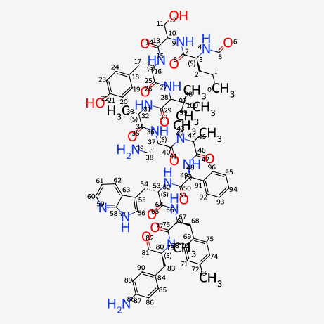 CCC[C@H](NC=O)C(=O)NC(CO)C(=O)N[C@@H](Cc1ccc(O)cc1)C(=O)NC(C(=O)N[C@@H](C)C(=O)N[C@@H](CN)C(=O)N(C)C(C)C(=O)N[C@H](C(=O)N[C@@H](Cc1c[nH]c2ncccc12)C(=O)N[C@@H](Cc1ccc(C)cc1)C(=O)N(C)[C@H](C=O)Cc1ccc(N)cc1)c1ccccc1)C(C)(C)C